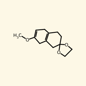 COC1=CCC2=C(C1)CC1(CC2)OCCO1